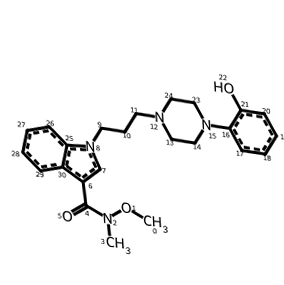 CON(C)C(=O)c1cn(CCCN2CCN(c3ccccc3O)CC2)c2ccccc12